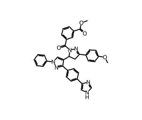 COC(=O)c1cccc(C(=O)N2N=C(c3ccc(OC)cc3)CC2c2cn(-c3ccccc3)nc2-c2ccc(-c3c[nH]cn3)cc2)c1